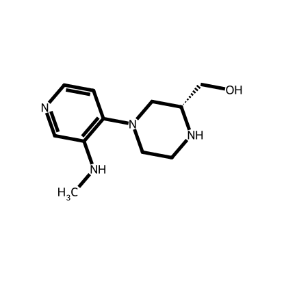 CNc1cnccc1N1CCN[C@@H](CO)C1